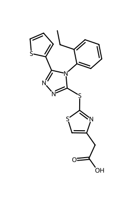 CCc1ccccc1-n1c(Sc2nc(CC(=O)O)cs2)nnc1-c1cccs1